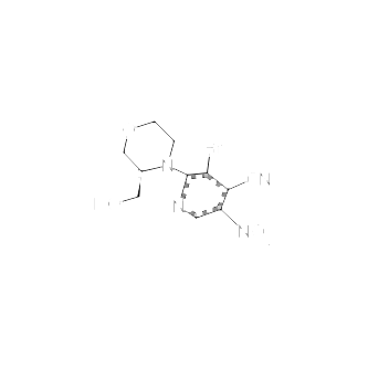 N#Cc1c([N+](=O)[O-])cnc(N2CCOC[C@@H]2CO)c1Br